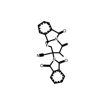 C=C(C(C)C(C#N)(CF)N1C(=O)c2ccccc2C1=O)N1C(=O)c2ccccc2C1=O